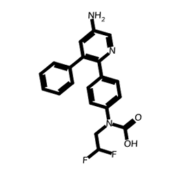 Nc1cnc(-c2ccc(N(CC(F)F)C(=O)O)cc2)c(-c2ccccc2)c1